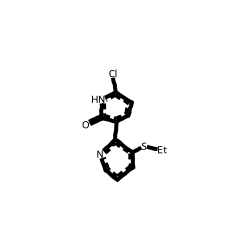 CCSc1cccnc1-c1ccc(Cl)[nH]c1=O